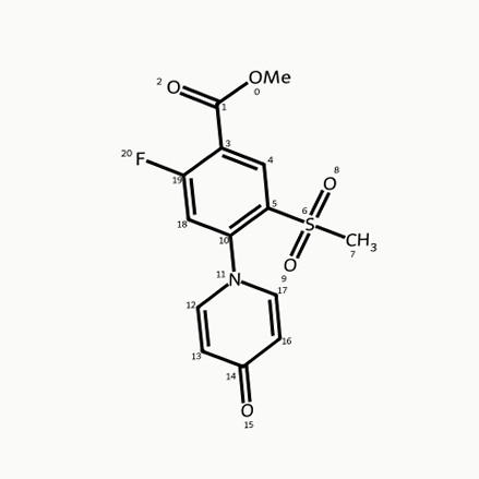 COC(=O)c1cc(S(C)(=O)=O)c(-n2ccc(=O)cc2)cc1F